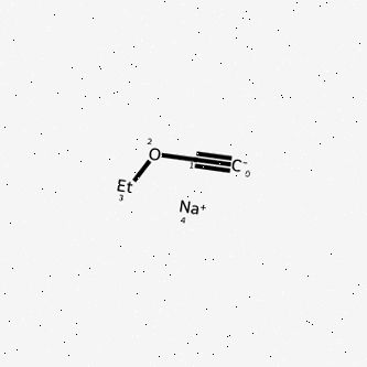 [C-]#COCC.[Na+]